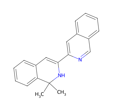 CC1(C)NC(c2cc3ccccc3cn2)=Cc2ccccc21